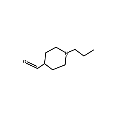 CCCN1CCC(C=O)CC1